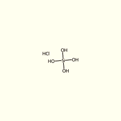 Cl.O[Si](O)(O)O